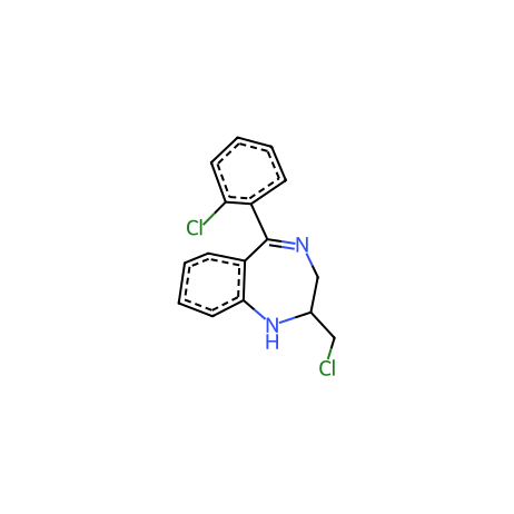 ClCC1CN=C(c2ccccc2Cl)c2ccccc2N1